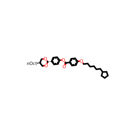 CCCCCCCC[C@H]1CO[C@H](c2ccc(OC(=O)c3ccc(OCCCCCCC4CCCC4)cc3)cc2)OC1